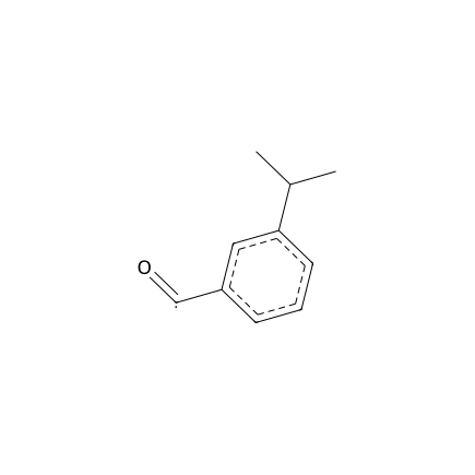 CC(C)c1cccc([C]=O)c1